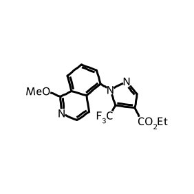 CCOC(=O)c1cnn(-c2cccc3c(OC)nccc23)c1C(F)(F)F